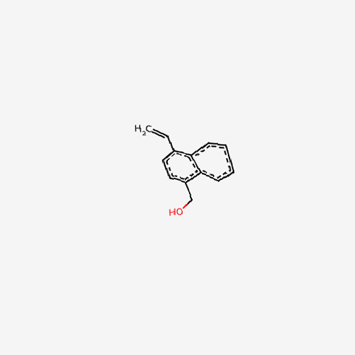 C=Cc1ccc(CO)c2ccccc12